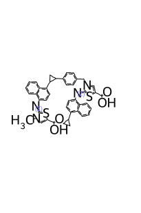 Cn1cc(C(=O)O)s/c1=N\c1ccc(C2CC2c2ccc(Cn3cc(C(=O)O)s/c3=N\c3ccc(C4CC4)c4ccccc34)cc2)c2ccccc12